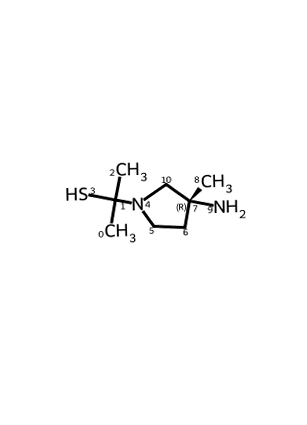 CC(C)(S)N1CC[C@@](C)(N)C1